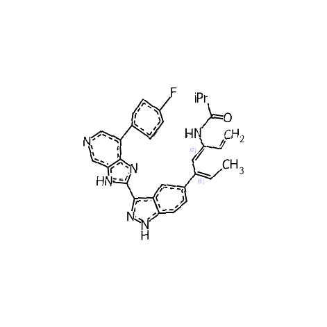 C=C/C(=C\C(=C/C)c1ccc2[nH]nc(-c3nc4c(-c5ccc(F)cc5)cncc4[nH]3)c2c1)NC(=O)C(C)C